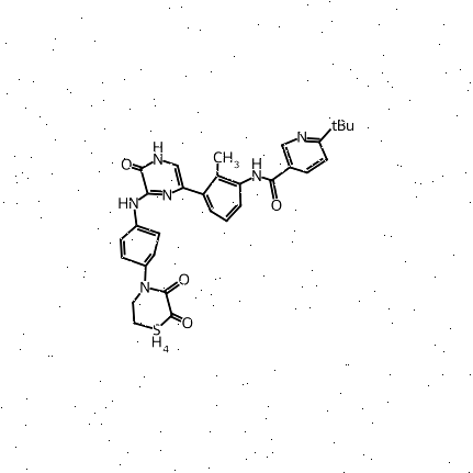 Cc1c(NC(=O)c2ccc(C(C)(C)C)nc2)cccc1-c1c[nH]c(=O)c(Nc2ccc(N3CC[SH4]C(=O)C3=O)cc2)n1